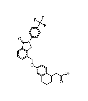 O=C(O)CC1CCCc2cc(OCc3cccc4c3CN(c3ccc(C(F)(F)F)cc3)C4=O)ccc21